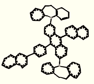 C1=CC2=C(CC1)CCc1ccccc1N2c1ccc2c(-c3ccc(-c4ccc5ccccc5c4)cc3)c3cc(N4c5ccccc5CCc5ccccc54)ccc3c(-c3ccc4ccccc4c3)c2c1